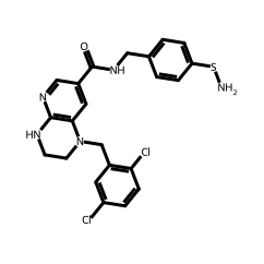 NSc1ccc(CNC(=O)c2cnc3c(c2)N(Cc2cc(Cl)ccc2Cl)CCN3)cc1